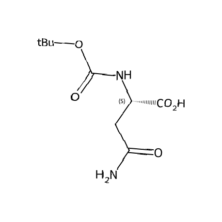 CC(C)(C)OC(=O)N[C@@H](CC(N)=O)C(=O)O